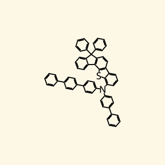 c1ccc(-c2ccc(-c3ccc(N(c4ccc(-c5ccccc5)cc4)c4cccc5c4sc4c6c(ccc45)C(c4ccccc4)(c4ccccc4)c4ccccc4-6)cc3)cc2)cc1